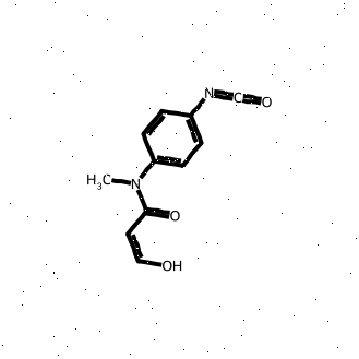 CN(C(=O)/C=C\O)c1ccc(N=C=O)cc1